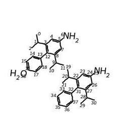 CC(C)c1cc(N)cc(C(C)C)c1-c1ccccc1.CC(C)c1cc(N)cc(C(C)C)c1-c1ccccc1.O